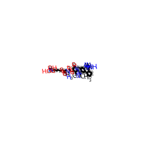 Cc1nc(C)c2c(OC(=O)NCC(=O)OCCCCON(O)O)cc(=O)n(Cc3ccc(-c4ccccc4-c4nnn[nH]4)cc3)c2n1